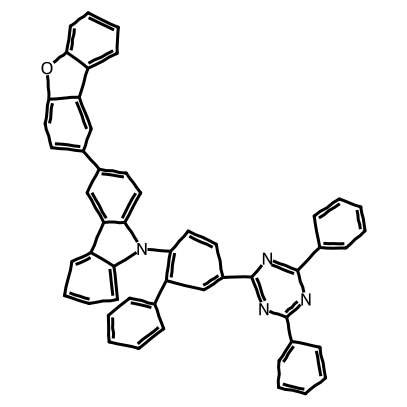 c1ccc(-c2nc(-c3ccccc3)nc(-c3ccc(-n4c5ccccc5c5cc(-c6ccc7oc8ccccc8c7c6)ccc54)c(-c4ccccc4)c3)n2)cc1